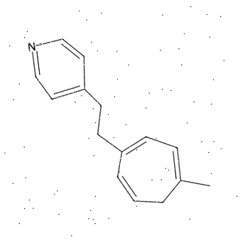 CC1=CC=C(CCc2ccncc2)C=CC1